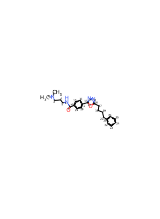 CN(C)CCCNC(=O)c1ccc(-c2nnc(CCCCc3ccccc3)o2)cc1